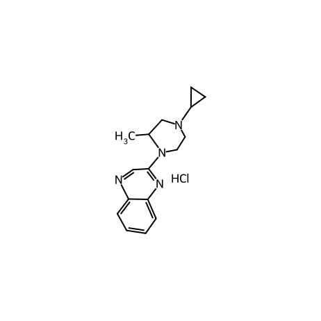 CC1CN(C2CC2)CCN1c1cnc2ccccc2n1.Cl